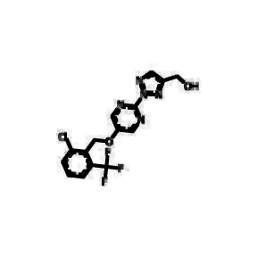 OCc1cnn(-c2ncc(OCc3c(Cl)cccc3C(F)(F)F)cn2)n1